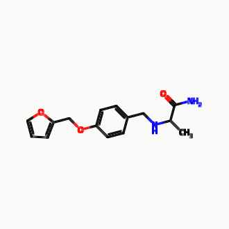 CC(NCc1ccc(OCc2ccco2)cc1)C(N)=O